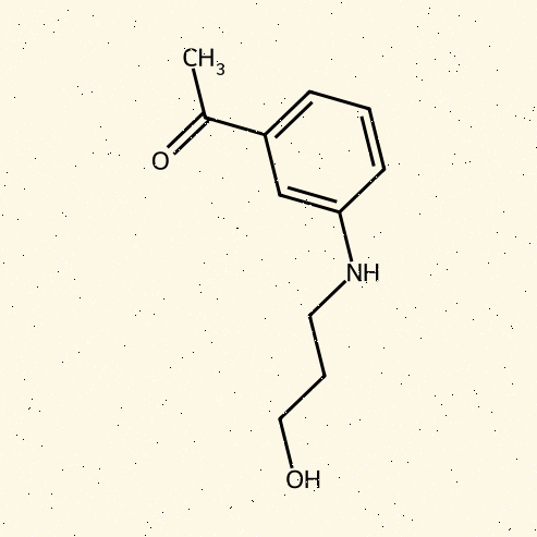 CC(=O)c1cccc(NCCCO)c1